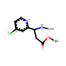 CCCCOC(=O)CC(NC=O)c1cc(Cl)ccn1